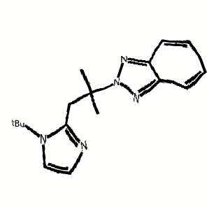 CC(C)(C)n1ccnc1CC(C)(C)n1nc2ccccc2n1